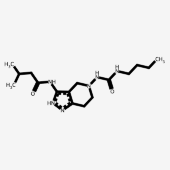 CCCCNC(=O)NN1CCc2n[nH]c(NC(=O)CC(C)C)c2C1